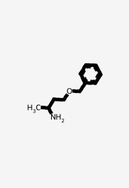 CC(N)CCOCc1ccccc1